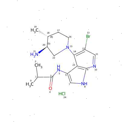 CC(C)C(=O)Nc1c[nH]c2ncc(Br)c(N3CC[C@@H](C)[C@H](N)C3)c12.Cl